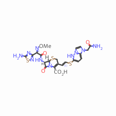 CO/N=C(\C(=O)N[C@@H]1C(=O)N2C(C(=O)O)=C(/C=C/SC3=CC=C4N(CC(N)=O)C=CN4N3)CS[C@@H]12)c1nsc(N)n1